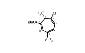 CC1=CC=C(Cl)[C@@H](C)C(OCC(C)C)=C1